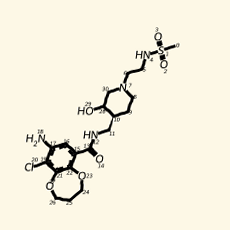 CS(=O)(=O)NCCN1CC[C@@H](CNC(=O)c2cc(N)c(Cl)c3c2OCCCO3)C(O)C1